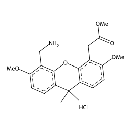 COC(=O)Cc1c(OC)ccc2c1Oc1c(ccc(OC)c1CN)C2(C)C.Cl